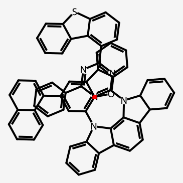 C1=CC2c3ccc4c5ccccc5n(-c5cc(-c6cccc7ccccc67)cc6c5oc5ccccc56)c4c3N(c3nc(-c4ccccc4)nc(-c4cccc5sc6ccccc6c45)n3)C2C=C1